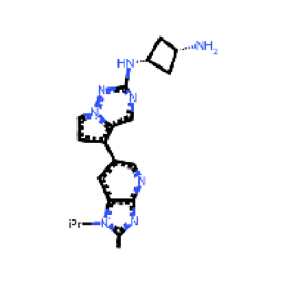 Cc1nc2ncc(-c3ccn4nc(N[C@H]5C[C@@H](N)C5)ncc34)cc2n1C(C)C